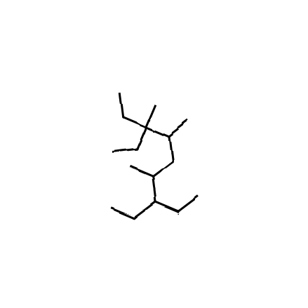 C[CH]C(CC)C(C)CC(C)C(C)(CC)CC